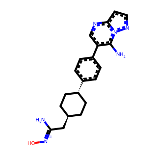 N/C(C[C@H]1CC[C@H](c2ccc(-c3cnc4ccnn4c3N)cc2)CC1)=N\O